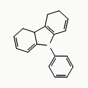 C1=CCC2C(=C1)N(c1ccccc1)C1=C2CCC=C1